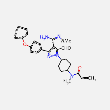 C=CC(=O)N(C)C1CCC(n2nc(-c3ccc(Oc4ccccc4)cc3)c(/C(N)=N\NC)c2C=O)CC1